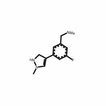 CNCc1cc(F)cc(C2=CN(C)NC2)c1